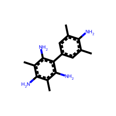 Cc1cc(-c2c(N)c(C)c(N)c(C)c2N)cc(C)c1N